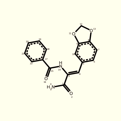 NC(=O)C(=Cc1ccc2c(c1)OCO2)NC(=O)c1ccccc1